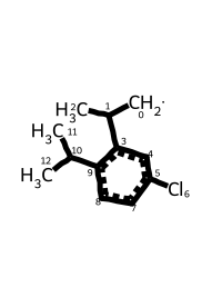 [CH2]C(C)c1cc(Cl)ccc1C(C)C